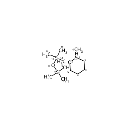 C[SiH]1CCCCO1.C[Si](C)(C)O[Si](C)(C)C